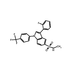 CNS(=O)(=O)c1ccc2c(c1)c(-c1ccccc1F)cn2-c1ccc(C(F)(F)F)cc1